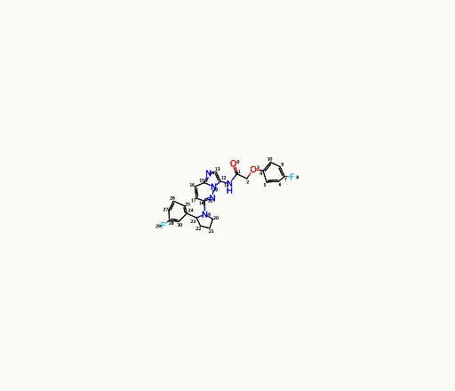 O=C(COc1ccc(F)cc1)Nc1cnc2ccc(N3CCCC3c3cccc(F)c3)nn12